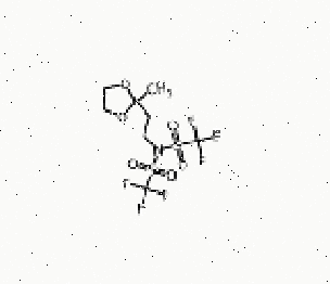 CC1(CCN(S(=O)(=O)C(F)(F)F)S(=O)(=O)C(F)(F)F)OCCO1